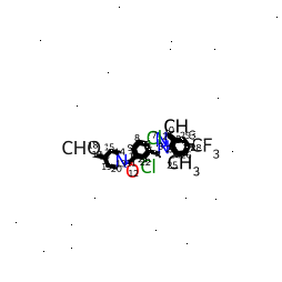 Cc1nn(Cc2c(Cl)ccc(C(=O)N3CCC(CC=O)CC3)c2Cl)c2c(C)cc(C(F)(F)F)cc12